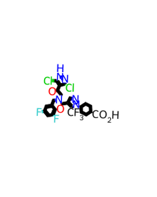 O=C(CN(Cc1cc(F)cc(F)c1)C(=O)c1cnn([C@H]2CC[C@H](C(=O)O)CC2)c1C(F)(F)F)c1c(Cl)n[nH]c1Cl